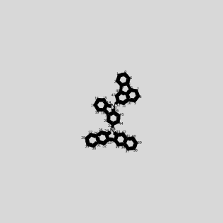 c1ccc2c(c1)-c1cccc3cc(-n4c5ccccc5c5cc(-n6c7cc8ccccc8cc7c7cc8ccccc8cc76)ccc54)cc-2c13